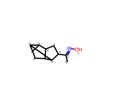 CC(=NO)C1CC2C3CC4C2C4C13